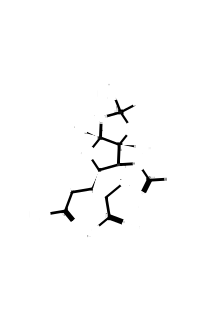 CC(=O)CC[C@H]1O[C@@H]2OC(C)(C)O[C@@H]2[C@@]1(CCC(C)=O)OC(C)=O